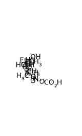 CC[C@H]1[C@@H](O)[C@@H]2[C@H](CC[C@]3(C)[C@@H]([C@H](C)CCOC(=O)NCc4ccc(C(=O)O)cc4)CC[C@@H]23)[C@@]2(C)CC[C@@H](O)C[C@@H]12